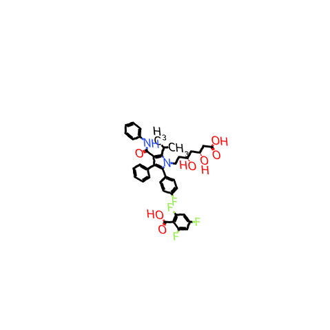 CC(C)c1c(C(=O)Nc2ccccc2)c(-c2ccccc2)c(-c2ccc(F)cc2)n1CC[C@@H](O)C[C@@H](O)CC(=O)O.O=C(O)c1c(F)cc(F)cc1F